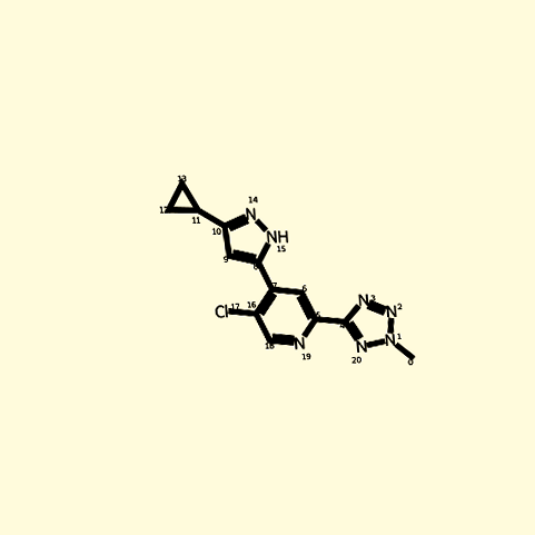 Cn1nnc(-c2cc(-c3cc(C4CC4)n[nH]3)c(Cl)cn2)n1